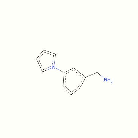 NCc1cccc(-n2[c]ccc2)c1